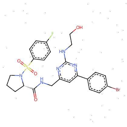 O=C(NCc1cc(-c2ccc(Br)cc2)nc(NCCO)n1)[C@@H]1CCCN1S(=O)(=O)c1ccc(F)cc1